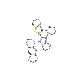 c1ccc2cc3c(-n4c5ccccc5c5c6ccccc6c6c7ccccc7sc6c54)cccc3cc2c1